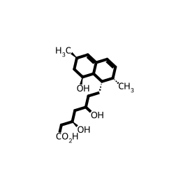 C[C@H]1C=C2C=C[C@H](C)[C@H](CCC(O)C[C@@H](O)CC(=O)O)C2[C@@H](O)C1